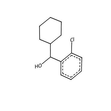 OC(c1ccccc1Cl)C1CCCCC1